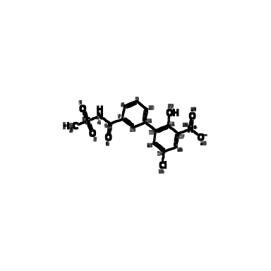 CS(=O)(=O)NC(=O)c1cccc(-c2cc(Cl)cc([N+](=O)[O-])c2O)c1